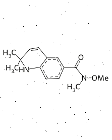 CON(C)C(=O)c1ccc2c(c1)C=CC(C)(C)N2